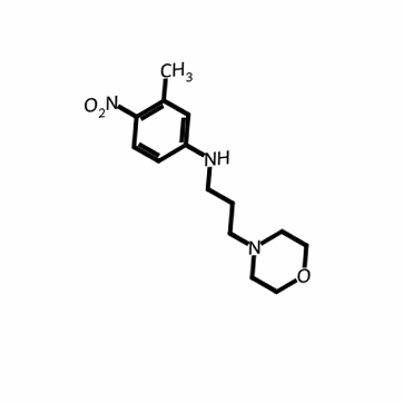 Cc1cc(NCCCN2CCOCC2)ccc1[N+](=O)[O-]